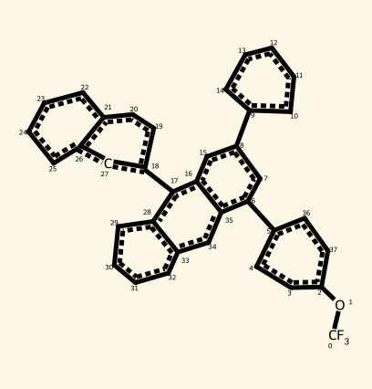 FC(F)(F)Oc1ccc(-c2cc(-c3ccccc3)cc3c(-c4ccc5ccccc5c4)c4ccccc4cc23)cc1